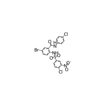 O=C(Nc1ccc(Cl)cc1)c1cc(Br)ccc1NS(=O)(=O)c1ccc(Cl)c([N+](=O)[O-])c1